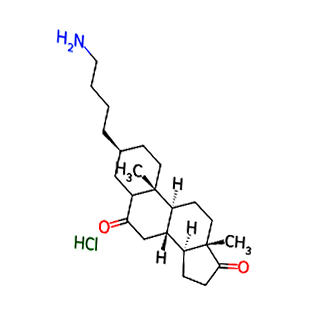 C[C@]12CC[C@H](CCCCN)CC1C(=O)C[C@@H]1[C@@H]2CC[C@]2(C)C(=O)CC[C@@H]12.Cl